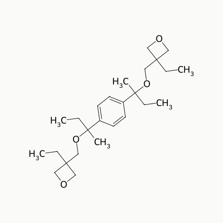 CCC1(COC(C)(CC)c2ccc(C(C)(CC)OCC3(CC)COC3)cc2)COC1